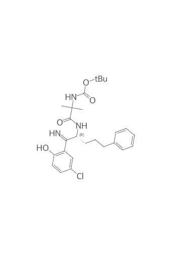 CC(C)(C)OC(=O)NC(C)(C)C(=O)N[C@H](CCCc1ccccc1)C(=N)c1cc(Cl)ccc1O